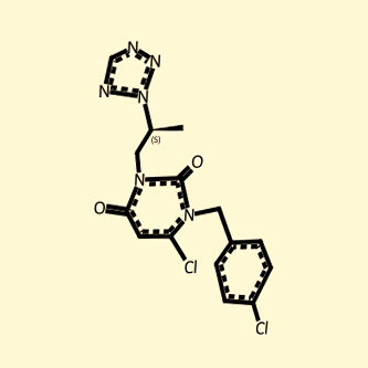 C[C@@H](Cn1c(=O)cc(Cl)n(Cc2ccc(Cl)cc2)c1=O)n1ncnn1